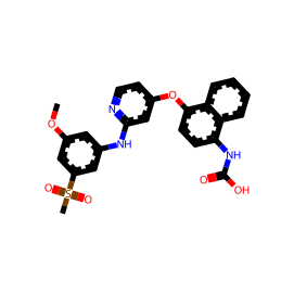 COc1cc(Nc2cc(Oc3ccc(NC(=O)O)c4ccccc34)ccn2)cc(S(C)(=O)=O)c1